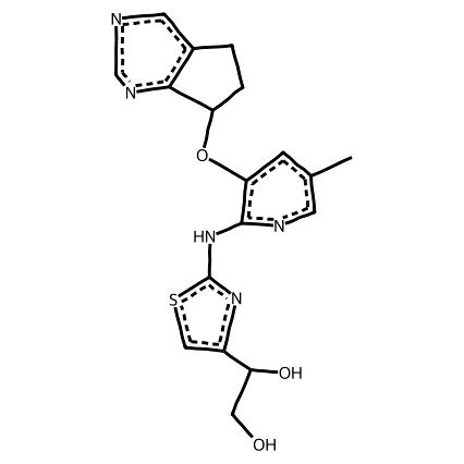 Cc1cnc(Nc2nc(C(O)CO)cs2)c(OC2CCc3cncnc32)c1